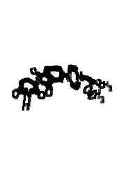 COC(CN1CCN(c2ccc3c(c2)C(=O)N(C2CCC(=O)NC2=O)C3=O)CC1)OC